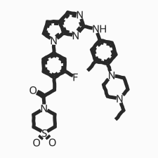 CCN1CCN(c2ccc(Nc3ncc4ccn(-c5ccc(CC(=O)N6CCS(=O)(=O)CC6)c(F)c5)c4n3)cc2C)CC1